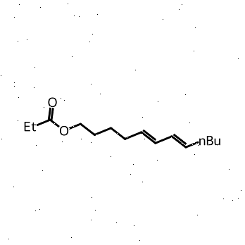 CCCCC=CC=CCCCCOC(=O)CC